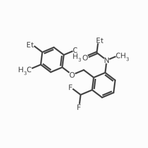 CCC(=O)N(C)c1cccc(C(F)F)c1COc1cc(C)c(CC)cc1C